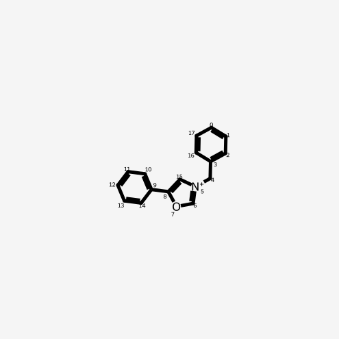 c1ccc(C[n+]2coc(-c3ccccc3)c2)cc1